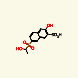 CC(O)S(=O)(=O)c1ccc2cc(O)c(S(=O)(=O)O)cc2c1